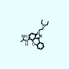 CCN(CC)CCn1nc2c3c(c(NC(C)N)ccc31)Oc1ccccc1-2